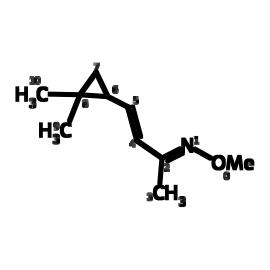 CON=C(C)C=CC1CC1(C)C